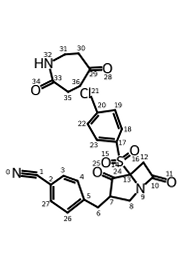 N#Cc1ccc(CC2CN3C(=O)CC3(S(=O)(=O)c3ccc(Cl)cc3)C2=O)cc1.O=C1CCNC(=O)CC1